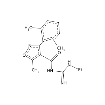 CCNC(=N)NC(=O)c1c(-c2c(C)cccc2C)noc1C